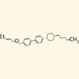 C=CCCC[C@H]1CC[C@H](c2ccc(-c3ccc(COCC=CCC)cc3)cc2)CC1